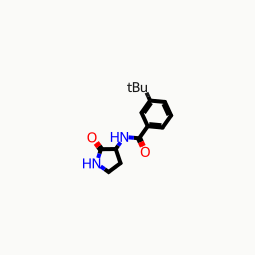 CC(C)(C)c1cccc(C(=O)NC2CCNC2=O)c1